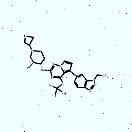 [2H]C([2H])([2H])Oc1nc(N[C@H]2CCN(C3COC3)C[C@@H]2F)nn2ccc(-c3ccc4nnn(CC(F)(F)F)c4c3)c12